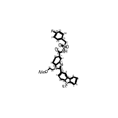 CCn1c2ccccc2c2cc(-c3nc4cc(C(=O)NS(=O)(=O)Cc5ccc(F)cc5)ccc4n3CCOC)ccc21